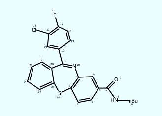 CCCCNC(=O)c1ccc2c(c1)N=C(c1ccc(F)c(Cl)c1)c1ccccc1S2